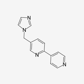 c1cc(-c2ccc(Cn3ccnc3)cn2)ccn1